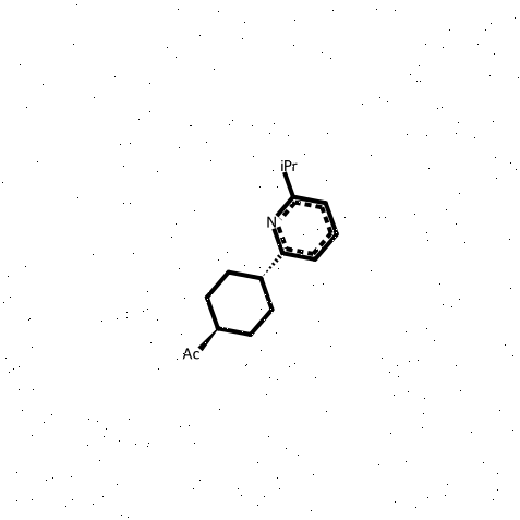 CC(=O)[C@H]1CC[C@H](c2cccc(C(C)C)n2)CC1